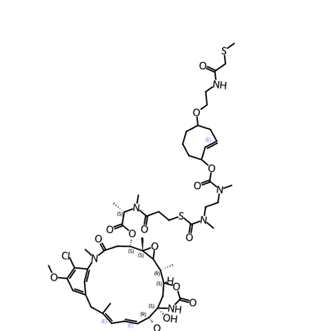 COc1cc2cc(c1Cl)N(C)C(=O)C[C@H](OC(=O)[C@H](C)N(C)C(=O)CCSC(=O)N(C)CCN(C)C(=O)OC1/C=C/CC(OCCNC(=O)CSC)CCC1)[C@]1(C)OC1[C@H](C)[C@@H]1C[C@@](O)(NC(=O)O1)[C@H](OC)/C=C/C=C(\C)C2